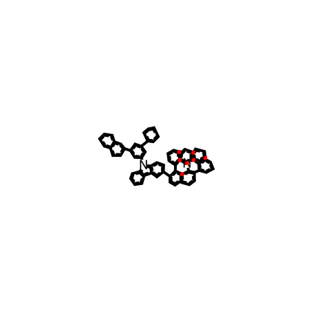 c1ccc(-c2cc(-c3ccc4ccccc4c3)cc(-n3c4ccccc4c4cc(-c5ccccc5-c5ccccc5N(c5ccccc5)c5ccccc5-c5ccccc5-c5ccccc5)ccc43)c2)cc1